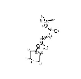 C[SiH](C)OC(=O)N=NC(=O)OC1CCCCC1